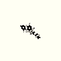 C=C(C[C@@H]1COC(C)(C)O1)S(=O)(=O)Nc1c(OC)cc(F)c(F)c1Nc1ccc(I)cc1F